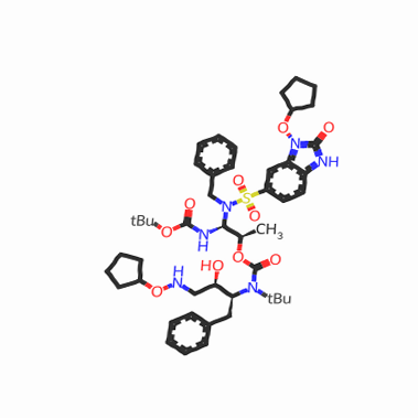 C[C@@H](OC(=O)N([C@@H](Cc1ccccc1)[C@H](O)CNOC1CCCC1)C(C)(C)C)[C@@H](NC(=O)OC(C)(C)C)N(Cc1ccccc1)S(=O)(=O)c1ccc2[nH]c(=O)n(OC3CCCC3)c2c1